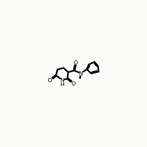 CN(C(=O)C1CCC(=O)NC1=O)c1ccccc1